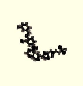 CS(=O)(=O)CCNCc1nc(-c2cc3c(Nc4ccc(OCc5cccc(F)c5)c(Br)c4)ncnc3cn2)cs1